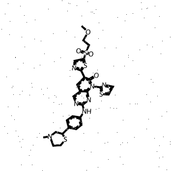 COCCS(=O)(=O)c1cnc(-c2cc3cnc(Nc4ccc(C5CN(C)CCS5)cc4)nc3n(-c3nccs3)c2=O)s1